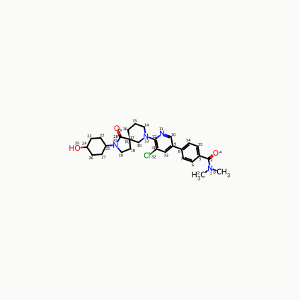 CN(C)C(=O)c1ccc(-c2cnc(N3CCC[C@]4(CCN(C5CCC(O)CC5)C4=O)C3)c(Cl)c2)cc1